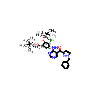 CC(C)(C)[Si](C)(C)OC[C@H]1C[C@@H](Nc2ncncc2C(=O)c2ccn(Cc3ccccc3)n2)[C@@H](F)[C@@H]1O[Si](C)(C)C(C)(C)C